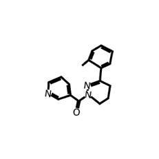 Cc1ccccc1C1=NN(C(=O)c2cccnc2)CCC1